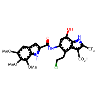 COc1cc2cc(C(=O)Nc3cc(O)c4[nH]c(C(F)(F)F)c(C(=O)O)c4c3CCCl)[nH]c2c(OC)c1OC